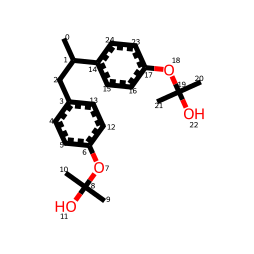 CC(Cc1ccc(OC(C)(C)O)cc1)c1ccc(OC(C)(C)O)cc1